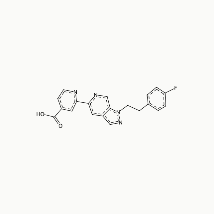 O=C(O)c1ccnc(-c2cc3cnn(CCc4ccc(F)cc4)c3cn2)c1